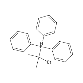 CCC(C)(C)[PH](c1ccccc1)(c1ccccc1)c1ccccc1